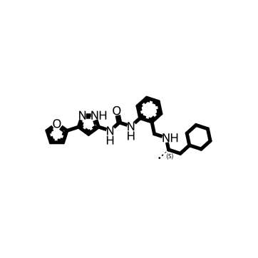 C[C@@H](CC1CCCCC1)NCc1ccccc1NC(=O)Nc1cc(-c2ccco2)n[nH]1